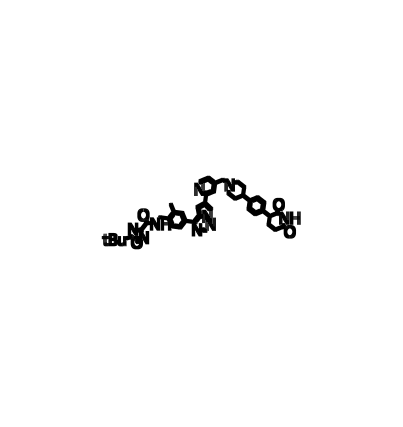 Cc1cc(-c2ncnn3cc(-c4cc(CN5CCC(c6ccc(C7CCC(=O)NC7=O)cc6)CC5)ccn4)cc23)ccc1CNC(=O)c1noc(C(C)(C)C)n1